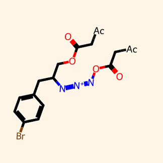 CC(=O)CC(=O)OCC(Cc1ccc(Br)cc1)N=[N+]=NOC(=O)CC(C)=O